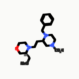 COC[C@@H]1COCCN1CCC1CN(C(=O)O)CCN1Cc1ccccc1